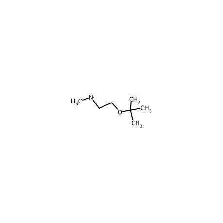 C[N]CCOC(C)(C)C